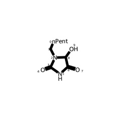 CCCCCCN1C(=O)NC(=O)C1O